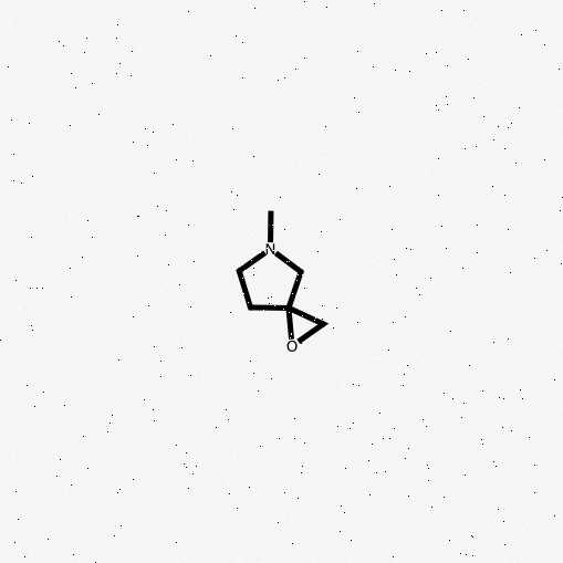 CN1CCC2(CO2)C1